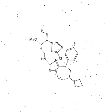 C=C/C=C(\C(=C/CNc1nc2n(n1)CCC(N1CCC1)CC2c1ccc(F)cc1)OC)n1cnc(Cl)c1